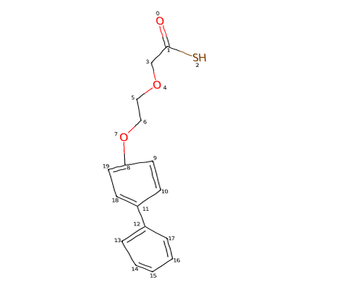 O=C(S)COCCOc1ccc(-c2ccccc2)cc1